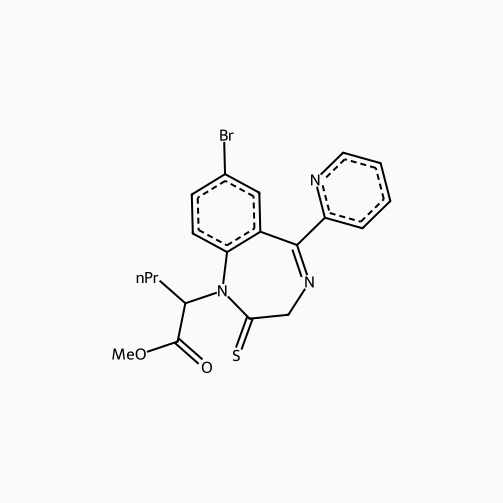 CCCC(C(=O)OC)N1C(=S)CN=C(c2ccccn2)c2cc(Br)ccc21